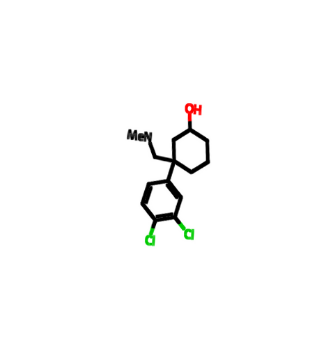 CNCC1(c2ccc(Cl)c(Cl)c2)CCCC(O)C1